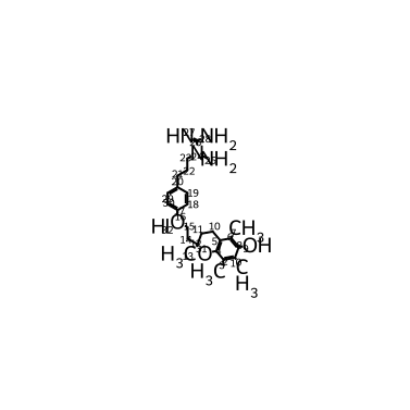 Cc1c(C)c2c(c(C)c1O)CCC(C)(CCOc1ccc(CCCN(N)C(=N)N)cc1)O2.I